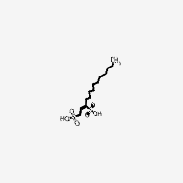 CCCCCCCCCCCC(=CCS(=O)(=O)O)S(=O)(=O)O